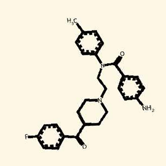 Cc1ccc(N(CCN2CCC(C(=O)c3ccc(F)cc3)CC2)C(=O)c2ccc(N)cc2)cc1